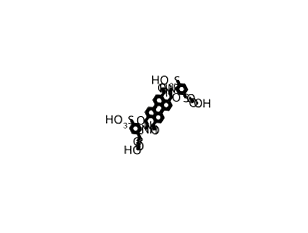 O=C1c2ccc3c4ccc5c6c(ccc(c7ccc(c2c37)C(=O)N1Nc1cc(S(=O)(=O)O)ccc1SOOO)c64)C(=O)N(Nc1cc(SOOO)ccc1S(=O)(=O)O)C5=O